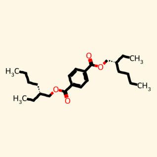 CCCC[C@@H](CC)COC(=O)c1ccc(C(=O)OC[C@H](CC)CCCC)cc1